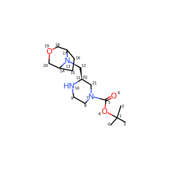 CC(C)(C)OC(=O)N1CCN[C@@H](CN2C3CCC2COC3)C1